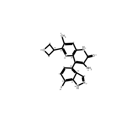 Cc1cc2[nH]c(=O)c(N)c(-c3ccc(F)c4[nH]ncc34)c2nc1C1COC1